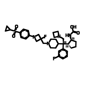 O=C(O)N[C@H]1CCC[C@@H]1[C@](CN1CCC1)(c1cccc(F)c1)C1CCN(CC2(F)CN(c3ccc(S(=O)(=O)C4CC4)cc3)C2)CC1